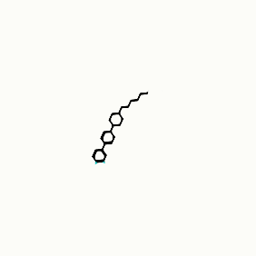 CCCCCCCC1CCC(C2C=CC(c3ccc(F)c(F)c3)=CC2)CC1